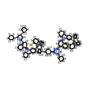 c1ccc(-c2cc(-c3ccccc3)nc(-c3ccc(-n4c5ccccc5c5ccc6c(c54)Sc4ccccc4C64c5ccccc5-c5c(-c6ccc(-c7nc(-c8ccccc8)nc(-c8ccc(-n9c%10ccccc%10c%10ccc%11c(c%109)Sc9ccccc9C%119c%10ccccc%10-c%10ccccc%109)c9ccccc89)n7)cc6)cccc54)c4ccccc34)c2)cc1